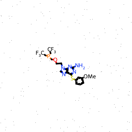 COc1cccc(Sc2nc(N)nc3c2ncn3CCOCP(CC(F)(F)F)CC(F)(F)F)c1